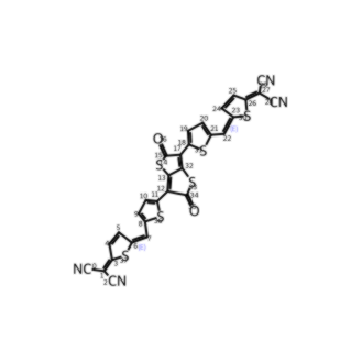 N#CC(C#N)=c1cc/c(=C\c2ccc(C3=C4SC(=O)C(c5ccc(/C=c6\ccc(=C(C#N)C#N)s6)s5)=C4SC3=O)s2)s1